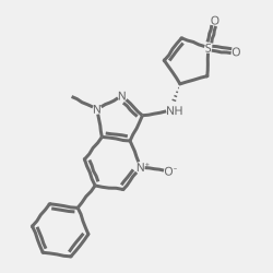 Cn1nc(N[C@@H]2C=CS(=O)(=O)C2)c2c1cc(-c1ccccc1)c[n+]2[O-]